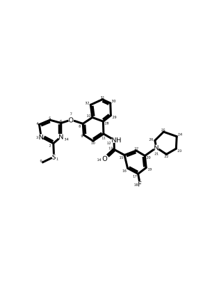 CSc1nccc(Oc2ccc(NC(=O)c3cc(F)cc(N4CCCCC4)c3)c3ccccc23)n1